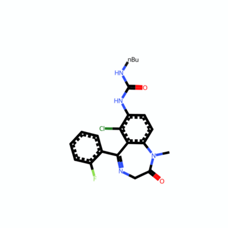 CCCCNC(=O)Nc1ccc2c(c1Cl)C(c1ccccc1F)=NCC(=O)N2C